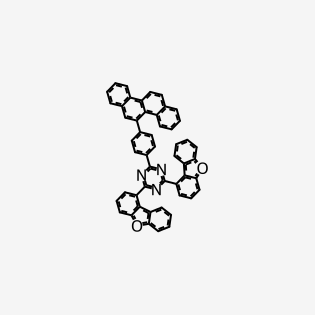 c1ccc2c(c1)cc(-c1ccc(-c3nc(-c4cccc5oc6ccccc6c45)nc(-c4cccc5oc6ccccc6c45)n3)cc1)c1c3ccccc3ccc21